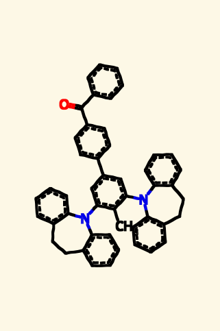 Cc1c(N2c3ccccc3CCc3ccccc32)cc(-c2ccc(C(=O)c3ccccc3)cc2)cc1N1c2ccccc2CCc2ccccc21